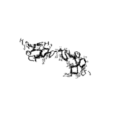 CN(C)C(=O)c1ccc(OCC[C@H]2CC23CCN(C(=O)C2(c4ccccc4C(F)(F)F)CCC2)CC3)cc1Cl